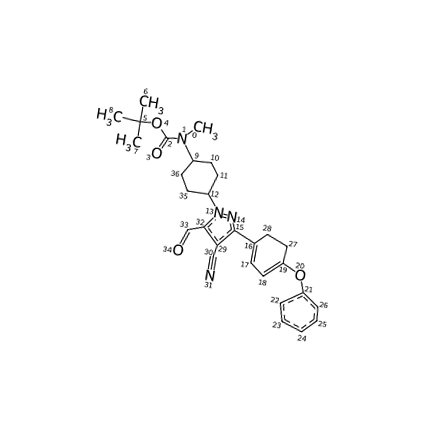 CN(C(=O)OC(C)(C)C)C1CCC(n2nc(C3=CC=C(Oc4ccccc4)CC3)c(C#N)c2C=O)CC1